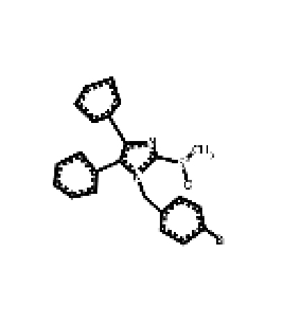 C[S+]([O-])c1nc(-c2ccccc2)c(-c2ccccc2)n1Cc1ccc(Br)cc1